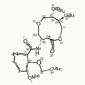 COc1ccnc(C(=O)N[C@@H]2COC[C@H](OCC(C)C)[C@@H](OCC(C)C)COC2=O)c1OCOC(C)=O